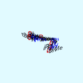 COC(=O)N[C@H](C(=O)N1CCC[C@H]1c1nc(-c2ccc(-c3ccc(NC(=O)c4ccc(N5C[C@H](C)N(C(=O)OC(C)(C)C)C[C@H]5C)nc4)c(C)n3)cc2)c[nH]1)C(C)C